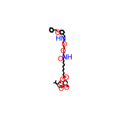 CO[C@@H]1[C@H](OC(=O)/C=C/C=C/C=C/C=C/C(=O)NCCOCCOCCNCc2cccc(OCc3ccccc3)c2)CC[C@]2(CO2)[C@H]1[C@@]1(C)O[C@@H]1CC=C(C)C